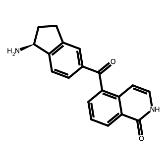 N[C@H]1CCc2cc(C(=O)c3cccc4c(=O)[nH]ccc34)ccc21